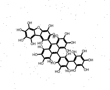 Oc1c(O)c(O)c(-c2c(O)c(O)c(O)c(-c3c4c(O)c(O)c(O)c(O)c4c(-c4c(O)c(O)c5oc6c(O)c(O)c(O)c(O)c6c5c4O)c4c(O)c(O)c(O)c(O)c34)c2O)c(O)c1O